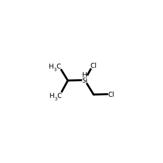 CC(C)[SiH](Cl)CCl